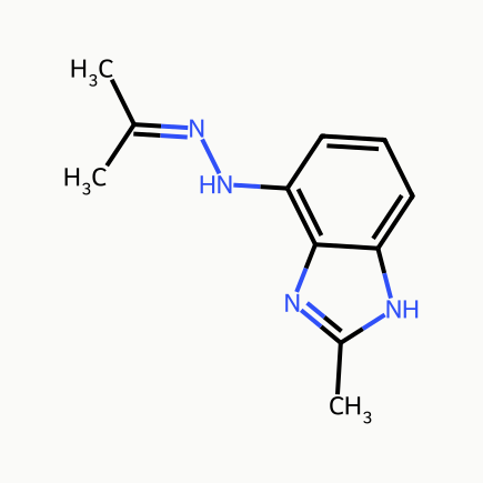 CC(C)=NNc1cccc2[nH]c(C)nc12